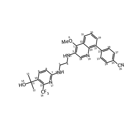 COc1c(NCCNc2ccc(C(C)(C)O)c(C(F)(F)F)n2)cnc2c(-c3ccc(C#N)cc3)cccc12